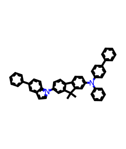 CC1(C)c2cc(N(c3ccccc3)c3ccc(-c4ccccc4)cc3)ccc2-c2ccc(-n3ccc4cc(-c5ccccc5)ccc43)cc21